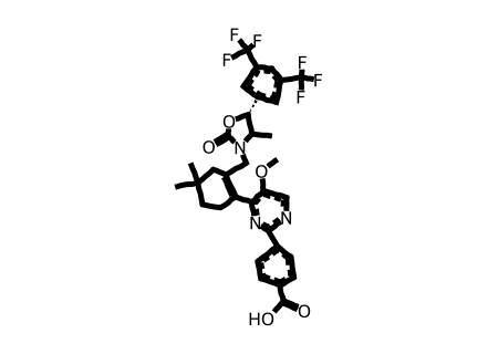 COc1cnc(-c2ccc(C(=O)O)cc2)nc1C1=C(CN2C(=O)O[C@H](c3cc(C(F)(F)F)cc(C(F)(F)F)c3)C2C)CC(C)(C)CC1